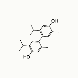 Cc1cc(-c2cc(C(C)C)c(O)cc2C)c(C(C)C)cc1O